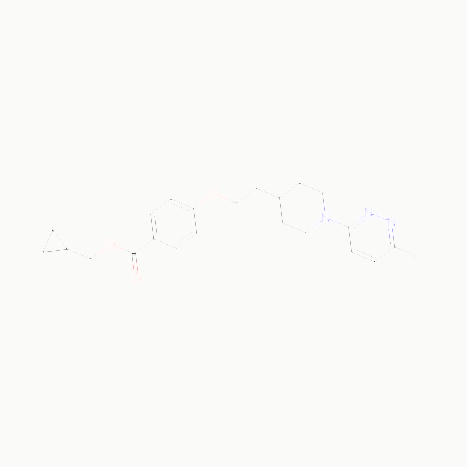 O=C(OCC1CC1)c1ccc(OCCC2CCN(c3ccc(Cl)nn3)CC2)cc1